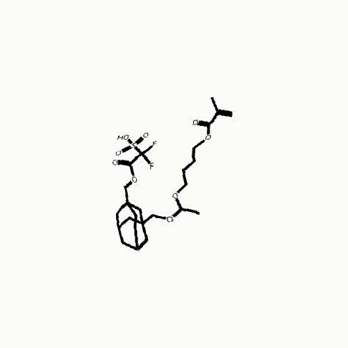 C=C(C)C(=O)OCCCCOC(C)OCC12CC3CC(CC(COC(=O)C(F)(F)S(=O)(=O)O)(C3)C1)C2